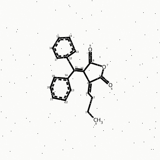 CCCC=C1C(=O)OC(=O)C1=C(c1ccccc1)c1ccccc1